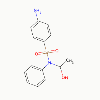 CC(O)N(c1ccccc1)S(=O)(=O)c1ccc(N)cc1